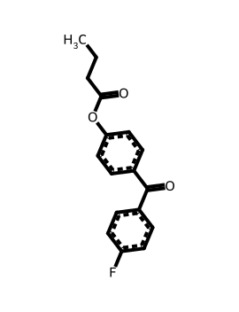 CCCC(=O)Oc1ccc(C(=O)c2ccc(F)cc2)cc1